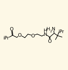 CC(C)C(=O)COCCOCCNC(=O)C(N)C(C)(C)C(C)C